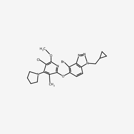 COc1nc(Oc2ccc3c(nnn3CC3CC3)c2Br)c(C)c(N2CCCC2)c1Cl